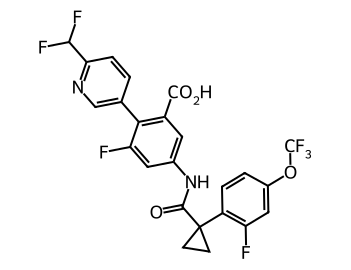 O=C(O)c1cc(NC(=O)C2(c3ccc(OC(F)(F)F)cc3F)CC2)cc(F)c1-c1ccc(C(F)F)nc1